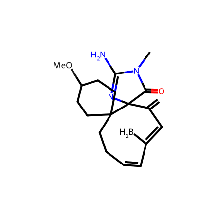 BC1=C\C(=C)C2(N=C(N)N(C)C2=O)C2(CC/C=C\1)CCC(OC)CC2